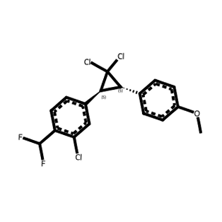 COc1ccc([C@@H]2[C@@H](c3ccc(C(F)F)c(Cl)c3)C2(Cl)Cl)cc1